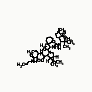 C=CCNC(=O)C(=O)C(CC)NC(=O)[C@@H]1[C@@H]2[C@H](CN1C(=O)[C@@H](NC(=O)N[C@H]([C@H]1CCN(C)S1(=O)=O)C(C)(C)C)C1(C)CCCCC1)C2(C)C